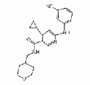 N#Cc1cccc(Nc2cc(C3CC3)c(C(=O)NCC3CCOCC3)cn2)c1